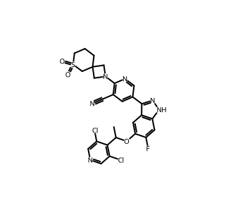 CC(Oc1cc2c(-c3cnc(N4CC5(CCCS(=O)(=O)C5)C4)c(C#N)c3)n[nH]c2cc1F)c1c(Cl)cncc1Cl